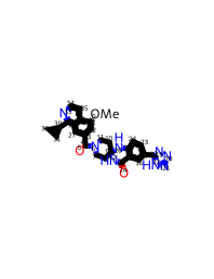 COc1cc(C(=O)N2CCC3(CC2)NC(=O)c2cc(-c4nnn[nH]4)ccc2N3)cc2c(C3CC3)nccc12